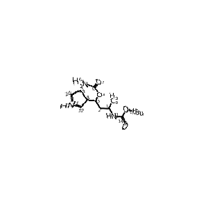 CC(CC(OC(N)=O)C1CCNC1)NC(=O)OC(C)(C)C